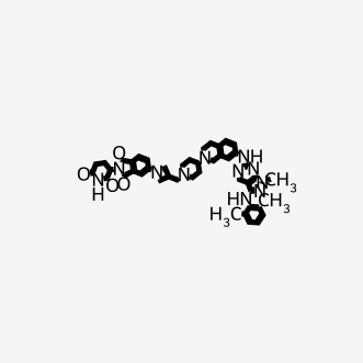 Cc1cccc(C)c1Nc1nn(C)c2nc(Nc3ccc4c(c3)CN(C3CCN(CC5CN(c6ccc7c(c6)C(=O)N(C6CCC(=O)NC6=O)C7=O)C5)CC3)CC4)ncc12